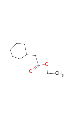 CCOC(=O)[CH]C1CCCCC1